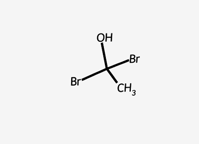 CC(O)(Br)Br